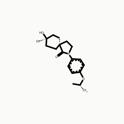 CC[C@]1(O)CC[C@@]2(CCN(c3ccc(O[C@@H](C)C(F)(F)F)cc3)C2=O)CC1